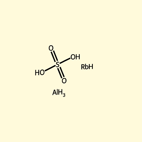 O=S(=O)(O)O.[AlH3].[RbH]